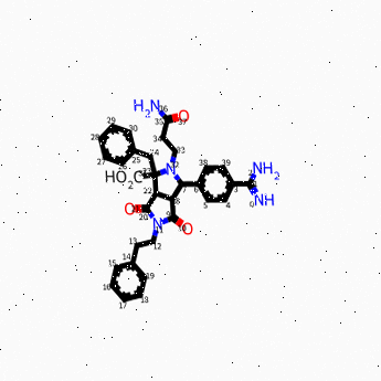 N=C(N)c1ccc(C2C3C(=O)N(CCc4ccccc4)C(=O)C3C(Cc3ccccc3)(C(=O)O)N2CCC(N)=O)cc1